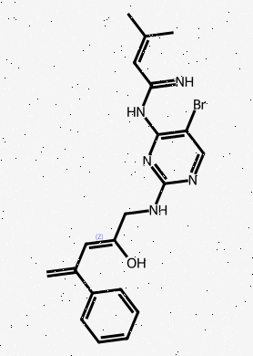 C=C(/C=C(\O)CNc1ncc(Br)c(NC(=N)C=C(C)C)n1)c1ccccc1